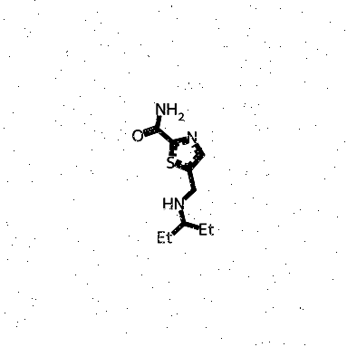 CCC(CC)NCc1cnc(C(N)=O)s1